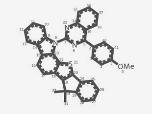 COc1ccc(-c2nc(-n3c4ccccc4c4ccc5c6c(sc5c43)-c3ccccc3C6(C)C)nc3ccccc23)cc1